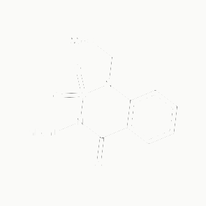 CCCCCN1C(=O)c2ccccc2N(COC)S1(=O)=O